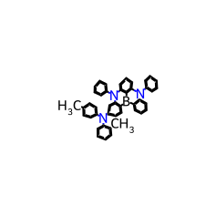 Cc1ccc(N(c2ccc3c(c2)N(c2ccccc2)c2cccc4c2B3c2ccccc2N4c2ccccc2)c2ccccc2C)cc1